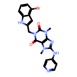 Cn1c(Nc2ccncc2)nc2c1c(=O)n(Cc1cc3c(Br)cccc3[nH]1)c(=O)n2C